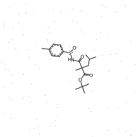 Cc1ccc([S+]([O-])NC(=O)C(C)(CC(C)C)C(=O)OC(C)(C)C)cc1